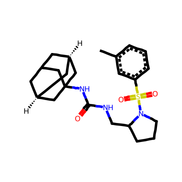 Cc1cccc(S(=O)(=O)N2CCCC2CNC(=O)NC23CC4C[C@H](C2)C[C@@H](C4)C3)c1